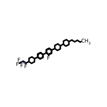 CCCCCC1CCC(C2CCC(c3ccc(-c4ccc(C5CCC(/C(F)=C/C(F)(F)F)CC5)cc4)c(F)c3)CC2)CC1